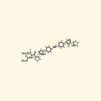 COC(=O)N[C@@H](C(=O)N1CCC[C@H]1c1ncc(-c2ccc(C#Cc3ccc(-c4cnc([C@@H]5CCCN5)[nH]4)cc3)cc2)[nH]1)[C@H](C)OC